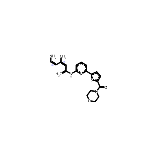 C=C(/C=C(C)\C=C/N)Nc1cccc(-c2ccc(C(=O)N3CCOCC3)s2)n1